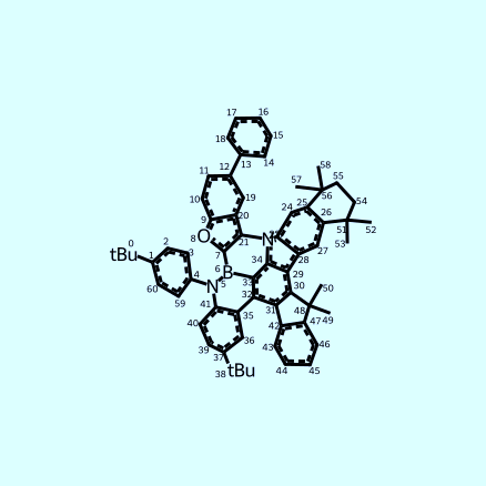 CC(C)(C)c1ccc(N2B3c4oc5ccc(-c6ccccc6)cc5c4-n4c5cc6c(cc5c5c7c(c(c3c54)-c3cc(C(C)(C)C)ccc32)-c2ccccc2C7(C)C)C(C)(C)CCC6(C)C)cc1